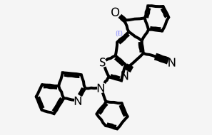 N#CC(C#N)=C1/C(=C\c2ccc(N(c3ccccc3)c3ccc4ccccc4n3)s2)C(=O)c2ccccc21